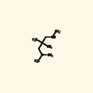 [CH2]NCC(C)(C)CN(C)C